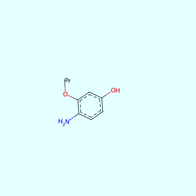 CC(C)Oc1cc(O)ccc1N